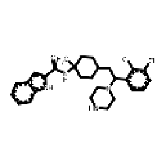 CC1(NC(=O)c2cc3ccccc3[nH]2)CCC(CC(c2cccc(Cl)c2Cl)N2CCNCC2)CC1